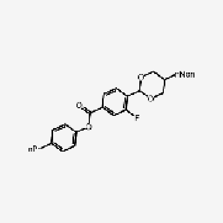 CCCCCCCCCC1COC(c2ccc(C(=O)Oc3ccc(CCC)cc3)cc2F)OC1